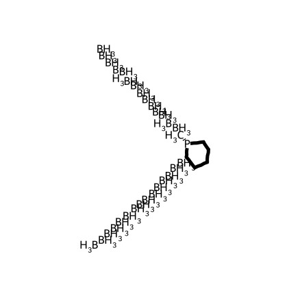 B.B.B.B.B.B.B.B.B.B.B.B.B.B.B.B.B.B.B.B.B.B.B.B.B.B.B.B.B.CP1CCCCC1